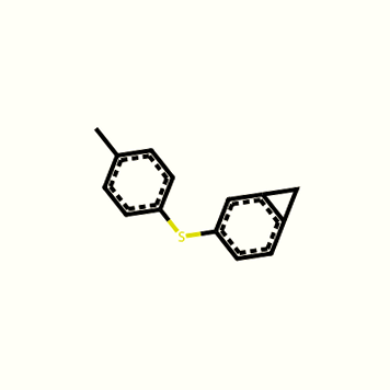 Cc1ccc(Sc2ccc3c(c2)C3)cc1